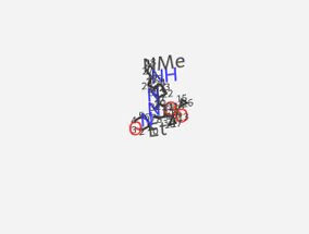 CCC1COCCN1c1cc(C2(S(=O)(=O)C3CC3)CC2)cc(-c2ccc3[nH]c(CNC)cc3n2)n1